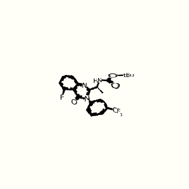 C[C@H](NC(=O)OC(C)(C)C)c1nc2cccc(F)c2c(=O)n1-c1cccc(C(F)(F)F)c1